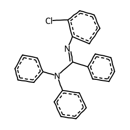 Clc1ccccc1N=C(c1ccccc1)N(c1ccccc1)c1ccccc1